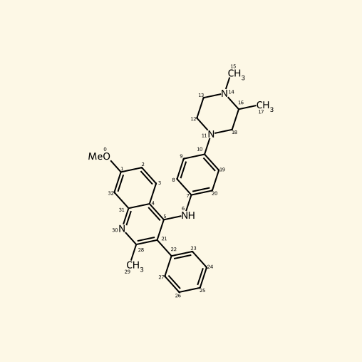 COc1ccc2c(Nc3ccc(N4CCN(C)C(C)C4)cc3)c(-c3ccccc3)c(C)nc2c1